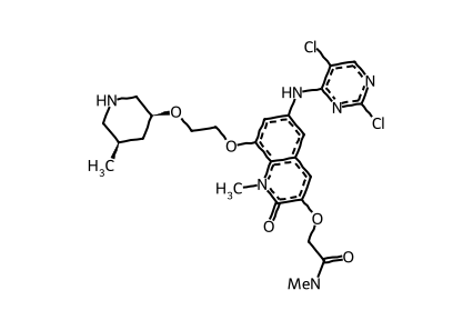 CNC(=O)COc1cc2cc(Nc3nc(Cl)ncc3Cl)cc(OCCO[C@@H]3CNC[C@H](C)C3)c2n(C)c1=O